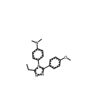 CCc1nnc(-c2ccc(OC)cc2)n1-c1ccc(N(C)C)cc1